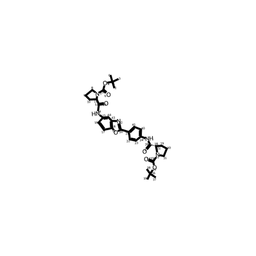 CC(C)(C)OC(=O)N1CCCC1C(=O)Nc1ccc2oc(-c3ccc(NC(=O)[C@@H]4CCCN4C(=O)OC(C)(C)C)cc3)nc2c1